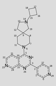 c1cc(-c2nc(N3CCC4(CC3)CCN(C3CCC3)C4)c3ccncc3n2)ccn1